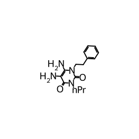 CCCn1c(=O)c(N)c(N)n(CCc2ccccc2)c1=O